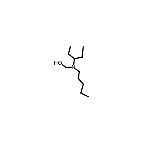 CCCCCN(CO)C(CC)CC